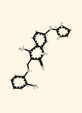 Cc1c(COc2ccccc2N)c(=O)oc2cc(Oc3nccs3)ccc12